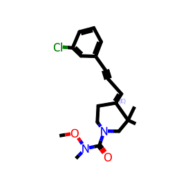 CON(C)C(=O)N1CC/C(=C\C#Cc2cccc(Cl)c2)C(C)(C)C1